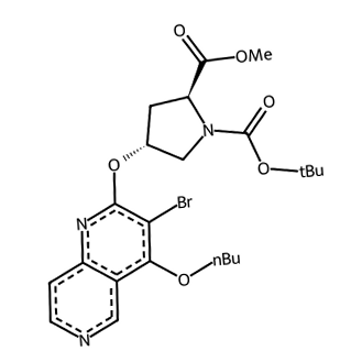 CCCCOc1c(Br)c(O[C@@H]2C[C@@H](C(=O)OC)N(C(=O)OC(C)(C)C)C2)nc2ccncc12